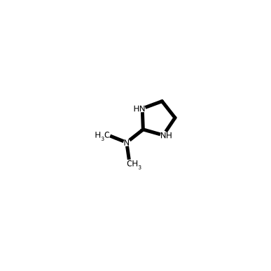 CN(C)[C]1NCCN1